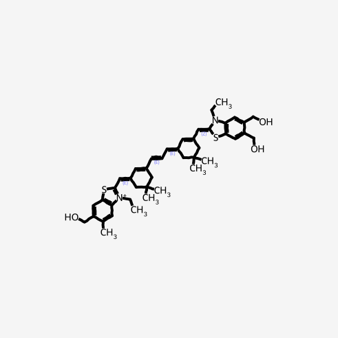 CCN1/C(=C/C2=CC(=C/C=C/C3=CC(=C/c4sc5cc(CO)c(C)cc5[n+]4CC)/CC(C)(C)C3)/CC(C)(C)C2)Sc2cc(CO)c(CO)cc21